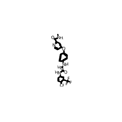 CNC(=O)c1cc(Oc2ccc(NNC(=O)Nc3ccc(Cl)c(C(F)(F)F)c3)cc2)ccn1